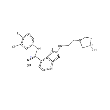 O/N=C(/Nc1ccc(F)c(Cl)c1)c1ccnc2nc(NCCN3CC[C@H](O)C3)[nH]c12